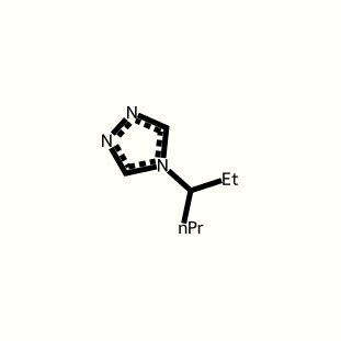 CCCC(CC)n1cnnc1